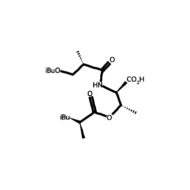 CC[C@H](C)[C@H](C)C(=O)O[C@@H](C)[C@@H](NC(=O)[C@@H](C)COCC(C)C)C(=O)O